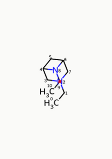 CCN1CC2CC(C1)N2CC